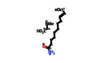 CCCCCCCCC=CCCCCCCCC(N)=O.CNCC(=O)O